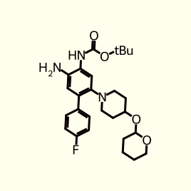 CC(C)(C)OC(=O)Nc1cc(N2CCC(OC3CCCCO3)CC2)c(-c2ccc(F)cc2)cc1N